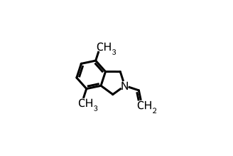 C=CN1Cc2c(C)ccc(C)c2C1